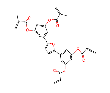 C=CC(=O)Oc1cc(OC(=O)C=C)cc(-c2ccc(-c3cc(OC(=O)C(=C)C)cc(OC(=O)C(=C)C)c3)o2)c1